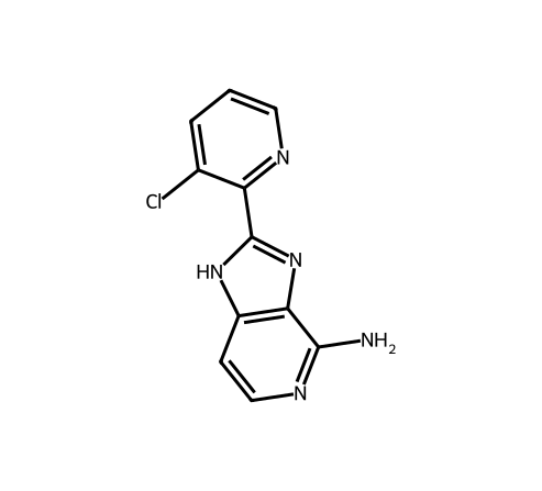 Nc1nccc2[nH]c(-c3ncccc3Cl)nc12